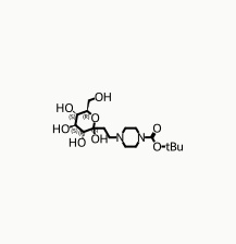 CC(C)(C)OC(=O)N1CCN(CC[C@@]2(O)O[C@H](CO)[C@@H](O)[C@H](O)[C@H]2O)CC1